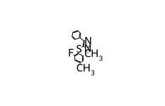 Cc1ccc(Sc2c(-c3ccccc3)ncn2C)c(F)c1